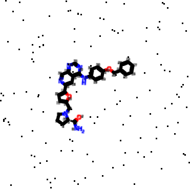 NC(=O)[C@@H]1CCCN1Cc1ccc(-c2cc3c(Nc4ccc(OCc5ccccc5)cc4)ncnc3cn2)o1